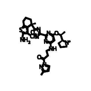 Cc1ccn(C(=O)CCNc2cc(O[C@@H](C)[C@@H]3CCCN3C)nc(-c3noc([C@@]4(C)CCCc5sc(N)c(C#N)c54)n3)n2)n1